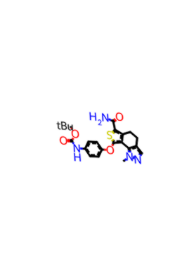 Cn1ncc2c1-c1c(Oc3ccc(NC(=O)OC(C)(C)C)cc3)sc(C(N)=O)c1CC2